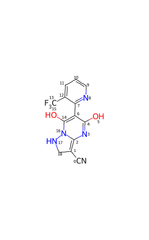 N#CC1=C2N=C(O)C(c3ncccc3C(F)(F)F)=C(O)N2NC1